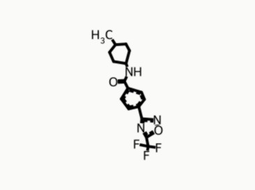 CC1CCC(NC(=O)c2ccc(-c3noc(C(F)(F)F)n3)cc2)CC1